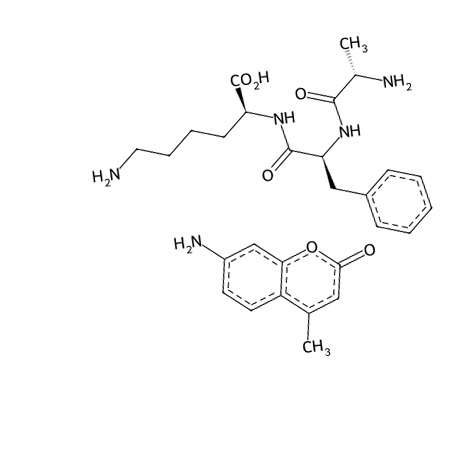 C[C@H](N)C(=O)N[C@@H](Cc1ccccc1)C(=O)N[C@@H](CCCCN)C(=O)O.Cc1cc(=O)oc2cc(N)ccc12